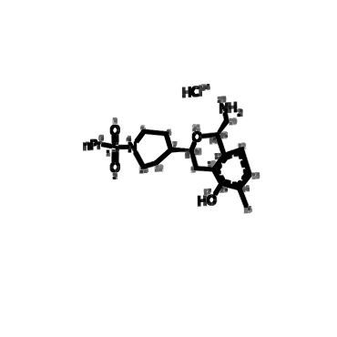 CCCS(=O)(=O)N1CCC([C@@H]2Cc3c(ccc(C)c3O)[C@H](CN)O2)CC1.Cl